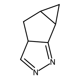 C1=NN=C2C1CC1CC21